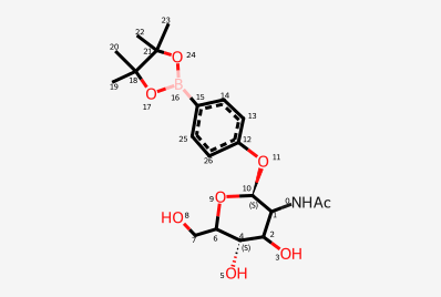 CC(=O)NC1C(O)[C@H](O)C(CO)O[C@H]1Oc1ccc(B2OC(C)(C)C(C)(C)O2)cc1